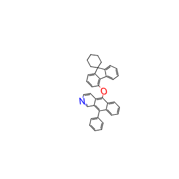 c1ccc(-c2c3ccccc3c(Oc3cccc4c3-c3ccccc3C43CCCCC3)c3ccncc23)cc1